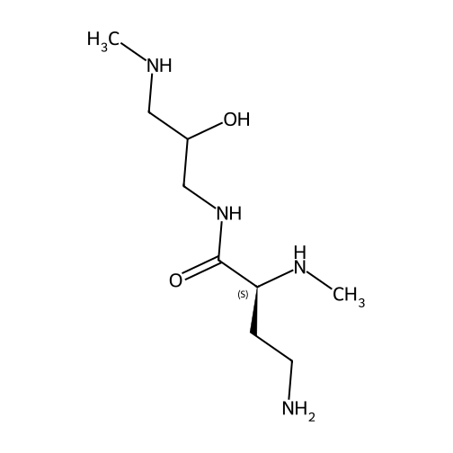 CNCC(O)CNC(=O)[C@H](CCN)NC